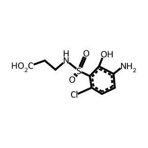 Nc1ccc(Cl)c(S(=O)(=O)NCCC(=O)O)c1O